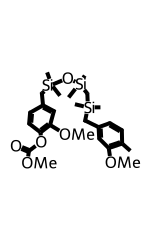 COC(=O)Oc1ccc(C[Si](C)(C)O[Si](C)(C)C[Si](C)(C)Cc2ccc(C)c(OC)c2)cc1OC